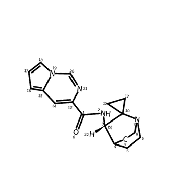 O=C(N[C@H]1C2CCN(CC2)C12CC2)c1cc2cccn2cn1